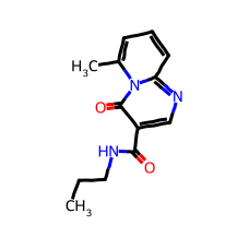 CCCNC(=O)c1cnc2cccc(C)n2c1=O